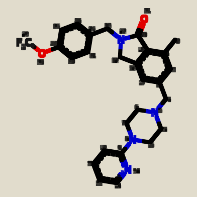 Cc1cc(CN2CCN(c3ccccn3)CC2)cc2c1C(=O)N(Cc1ccc(OC(F)(F)F)cc1)C2